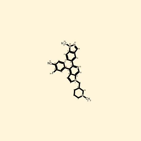 CN1CCCC(Cn2ccc3c(-c4ccc(C#N)c(F)c4)c(-c4ccc5c(cnn5C)c4)ncc32)C1